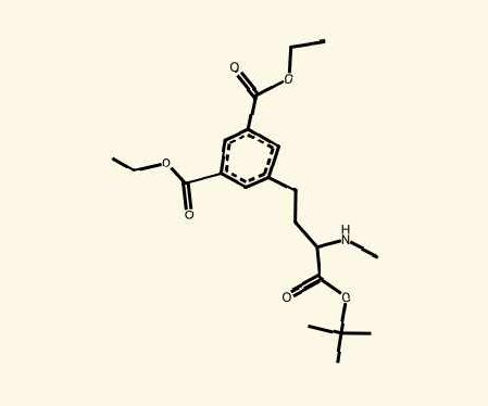 CCOC(=O)c1cc(CCC(NC)C(=O)OC(C)(C)C)cc(C(=O)OCC)c1